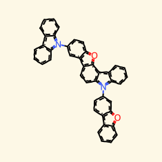 c1ccc2c(c1)oc1cc(-n3c4ccccc4c4c5oc6ccc(-n7c8ccccc8c8ccccc87)cc6c5ccc43)ccc12